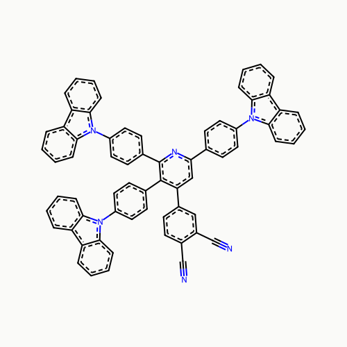 N#Cc1ccc(-c2cc(-c3ccc(-n4c5ccccc5c5ccccc54)cc3)nc(-c3ccc(-n4c5ccccc5c5ccccc54)cc3)c2-c2ccc(-n3c4ccccc4c4ccccc43)cc2)cc1C#N